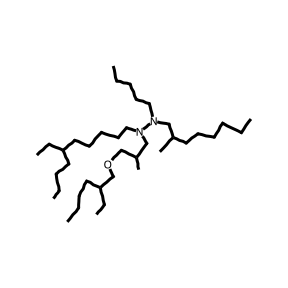 CCCCCCC(C)CN(CCCCC)N(CCCCCC(CC)CCCC)CC(C)COCC(CC)CCCC